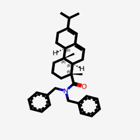 CC(C)C1=CC2=CC[C@@H]3[C@](C)(CCC[C@@]3(C)C(=O)N(Cc3ccccc3)Cc3ccccc3)[C@H]2CC1